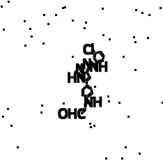 O=CCCNc1ccc(-c2cc3c(Nc4cccc(Cl)c4)ncnc3[nH]2)cc1